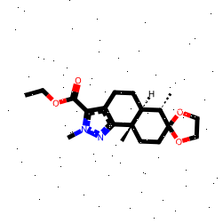 CCOC(=O)c1c2c(nn1C)[C@@]1(C)CCC3(OCCO3)[C@@H](C)[C@@H]1CC2